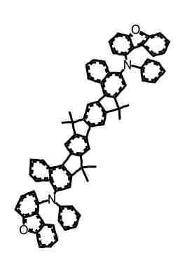 CC1(C)c2cc3c(cc2-c2cc4c(cc21)-c1c(cc(N(c2ccccc2)c2cccc5oc6ccccc6c25)c2ccccc12)C4(C)C)C(C)(C)c1cc(N(c2ccccc2)c2cccc4oc5ccccc5c24)c2ccccc2c1-3